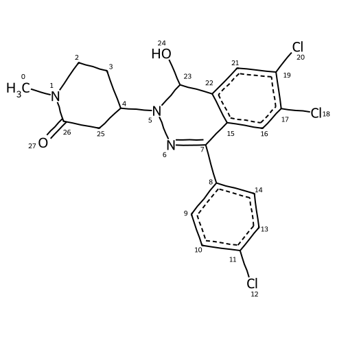 CN1CCC(N2N=C(c3ccc(Cl)cc3)c3cc(Cl)c(Cl)cc3C2O)CC1=O